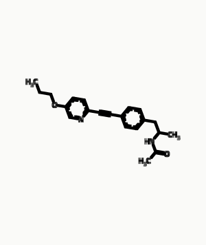 CCCOc1ccc(C#Cc2ccc(CC(C)NC(C)=O)cc2)nc1